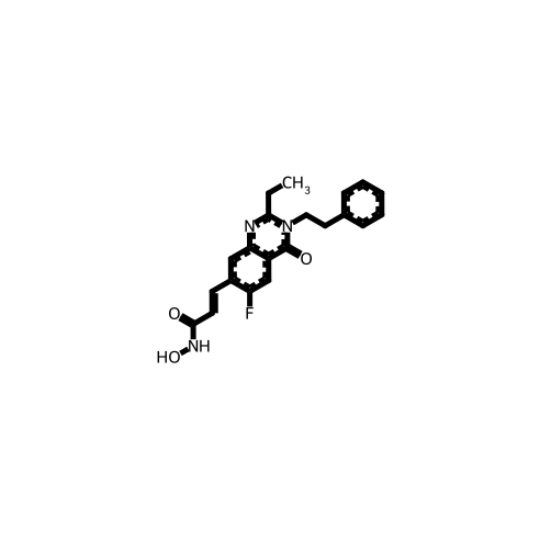 CCc1nc2cc(/C=C/C(=O)NO)c(F)cc2c(=O)n1CCc1ccccc1